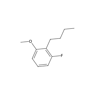 CCCCc1c(F)cccc1OC